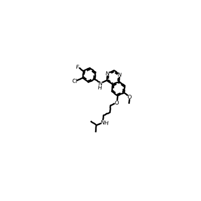 COc1cc2ncnc(Nc3ccc(F)c(Cl)c3)c2cc1OCCCNC(C)C